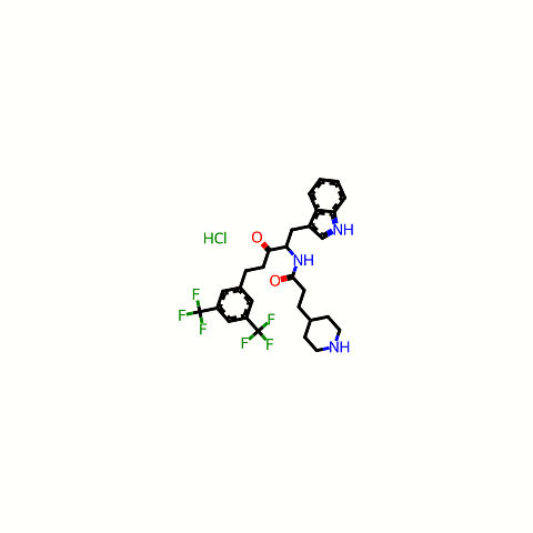 Cl.O=C(CCC1CCNCC1)NC(Cc1c[nH]c2ccccc12)C(=O)CCc1cc(C(F)(F)F)cc(C(F)(F)F)c1